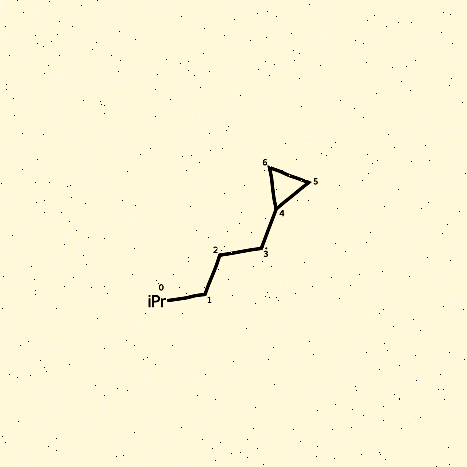 CC(C)CC[CH]C1CC1